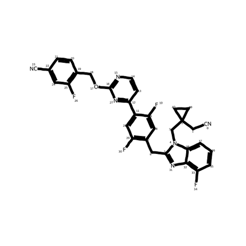 N#CCC1(Cn2c(Cc3cc(F)c(-c4ccnc(OCc5ccc(C#N)cc5F)n4)cc3F)nc3c(F)cccc32)CC1